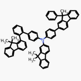 CC1(C)c2ccccc2-c2ccc(N(c3ccc(-c4ccc5c(c4)C(C)(c4ccccc4)c4ccccc4-5)cc3)c3ccc(-c4ccccc4-c4cccc5c4C(C)(C)c4ccccc4-5)cc3)cc21